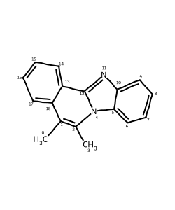 Cc1c(C)n2c3ccccc3nc2c2ccccc12